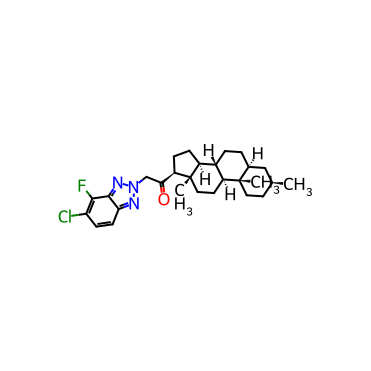 C[C@H]1CC[C@@]2(C)[C@@H](CC[C@@H]3[C@@H]2CC[C@]2(C)[C@@H](C(=O)Cn4nc5ccc(Cl)c(F)c5n4)CC[C@@H]32)C1